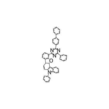 C1=CC2c3cccc(-c4nc(-c5ccccc5)nc(-c5ccc(-c6ccccc6)cc5)n4)c3OC2c2c1n(-c1ccccc1)c1ccccc21